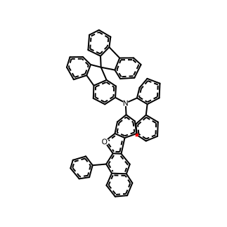 c1ccc(-c2ccccc2N(c2ccc3c(c2)C2(c4ccccc4-c4ccccc42)c2ccccc2-3)c2ccc3c(c2)oc2c(-c4ccccc4)c4ccccc4cc23)cc1